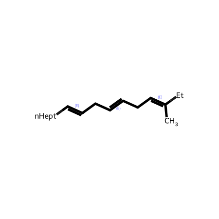 [CH2]CCCCCC/C=C/C/C=C/C/C=C(\C)CC